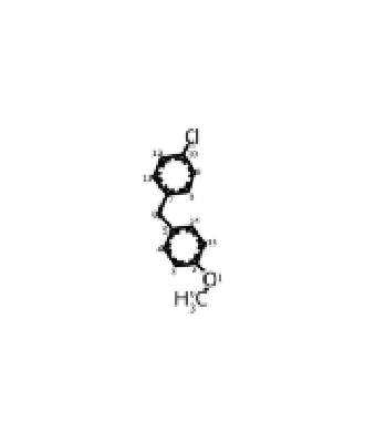 COc1ccc([CH]c2ccc(Cl)cc2)cc1